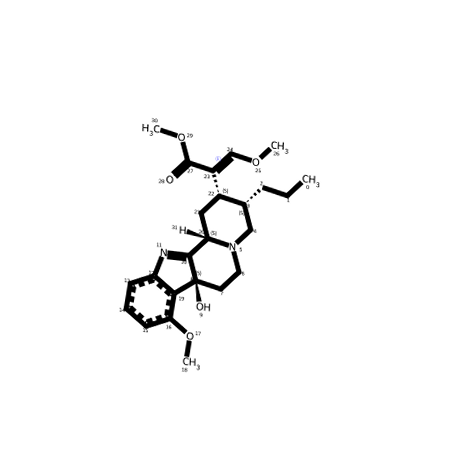 CCC[C@@H]1CN2CC[C@@]3(O)C(=Nc4cccc(OC)c43)[C@@H]2C[C@@H]1/C(=C\OC)C(=O)OC